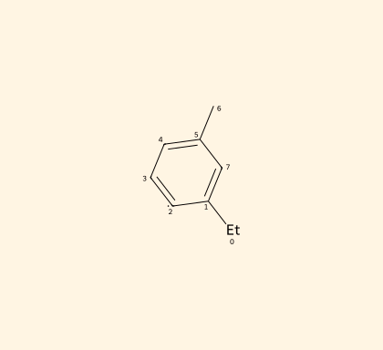 CCc1[c]ccc(C)c1